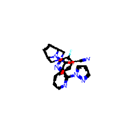 N#Cc1ccnc(N2C3CCC2CN(C(=O)c2cccnc2-n2cccn2)C3)c1F